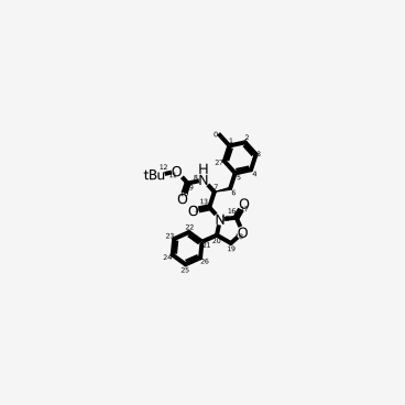 Cc1cccc(C[C@H](NC(=O)OC(C)(C)C)C(=O)N2C(=O)OCC2c2ccccc2)c1